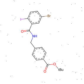 CC(C)(C)OC(=O)c1ccc(CNC(=O)c2cc(Br)ccc2I)cc1